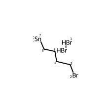 Br.Br.BrCCC[CH2][Sn]